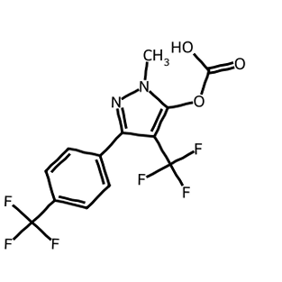 Cn1nc(-c2ccc(C(F)(F)F)cc2)c(C(F)(F)F)c1OC(=O)O